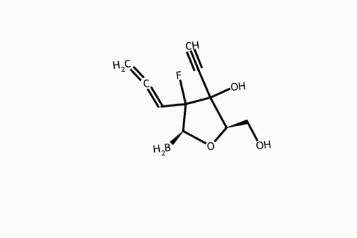 B[C@@H]1O[C@H](CO)C(O)(C#C)C1(F)C=C=C